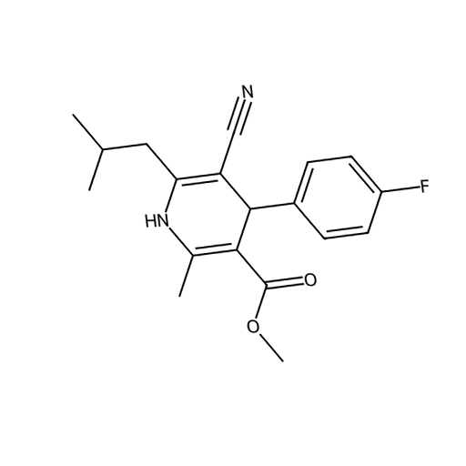 COC(=O)C1=C(C)NC(CC(C)C)=C(C#N)C1c1ccc(F)cc1